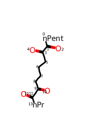 CCCCCC(=O)C(=O)CCCCC(=O)C(=O)CCC